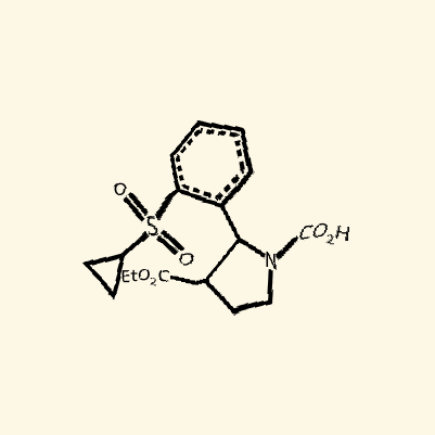 CCOC(=O)C1CCN(C(=O)O)C1c1ccccc1S(=O)(=O)C1CC1